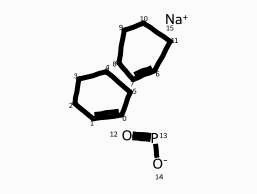 C1=CCCCC1.C1=CCCCC1.O=P[O-].[Na+]